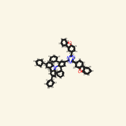 C1=CC(c2cc(-c3nc(-c4ccc5c(c4)oc4ccccc45)nc(-c4ccc5oc6ccccc6c5c4)n3)cc(-c3ccccc3)c2-n2c3ccc(-c4ccccc4)cc3c3cc(-c4ccccc4)ccc32)=CCC1